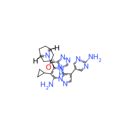 Nc1ncc(-c2cnn3c(N)c(C4CC4)c([C@@H]4C[C@H]5CC[C@@H](C4)N5C(=O)c4nnc[nH]4)nc23)cn1